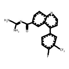 NC(N)=NC(=O)c1ccc2nccc(-c3ccc(F)c(C(F)(F)F)c3)c2c1